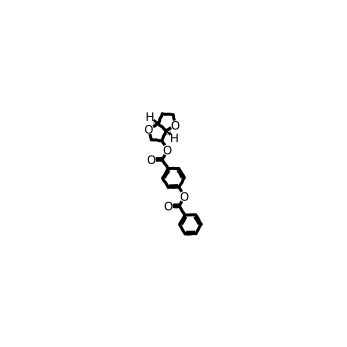 O=C(Oc1ccc(C(=O)OC2CO[C@@H]3CCO[C@H]23)cc1)c1ccccc1